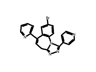 Brc1ccc2c(c1)C(c1ccccn1)=CCc1nnc(-c3ccncc3)n1-2